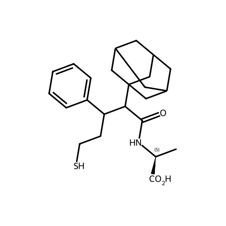 C[C@H](NC(=O)C(C(CCS)c1ccccc1)C12CC3CC(CC(C3)C1)C2)C(=O)O